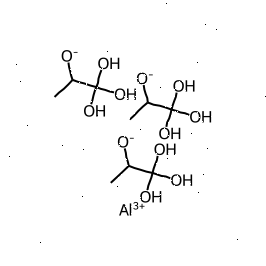 CC([O-])C(O)(O)O.CC([O-])C(O)(O)O.CC([O-])C(O)(O)O.[Al+3]